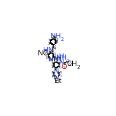 C=CC(=O)Nc1cc(N2CCN(CC)CC2)ccc1N(N)c1cc(NCc2ccc(N)cc2)c(C#N)cn1